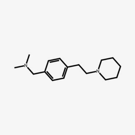 CN(C)Cc1ccc(CCN2CCCCC2)cc1